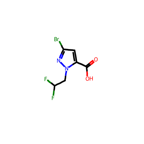 O=C(O)c1cc(Br)nn1CC(F)F